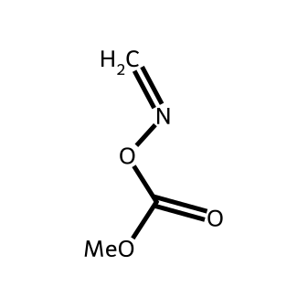 C=NOC(=O)OC